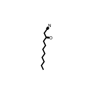 CCCCCCCCC(=O)CC#N